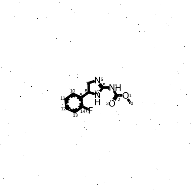 COC(=O)NC1=NCC(c2ccccc2F)N1